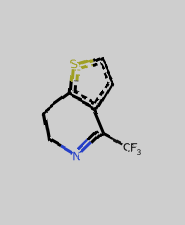 FC(F)(F)C1=NCCc2sccc21